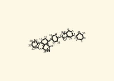 c1ccc(-c2ccc3nc(-c4ccc(-c5ccc(-c6ncccn6)c6ccncc56)cc4)oc3c2)cc1